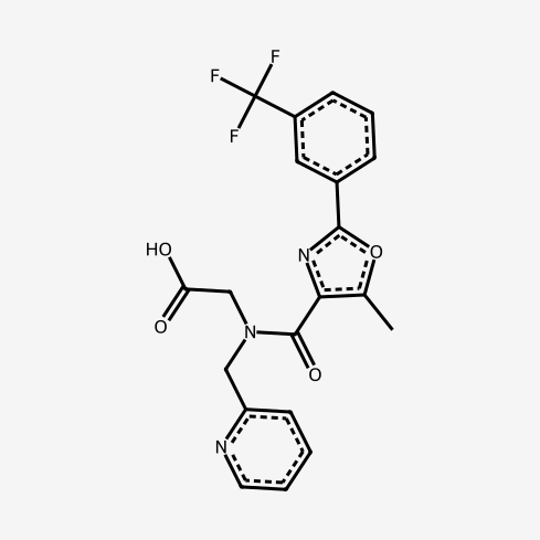 Cc1oc(-c2cccc(C(F)(F)F)c2)nc1C(=O)N(CC(=O)O)Cc1ccccn1